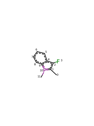 Cc1c(F)c2ccccc2p1C